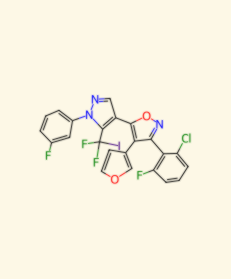 Fc1cccc(-n2ncc(-c3onc(-c4c(F)cccc4Cl)c3-c3ccoc3)c2C(F)(F)I)c1